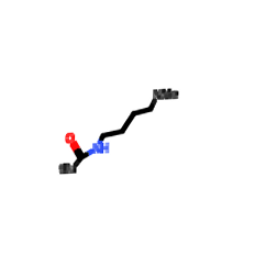 CNCCCCNC(=O)C(C)(C)C